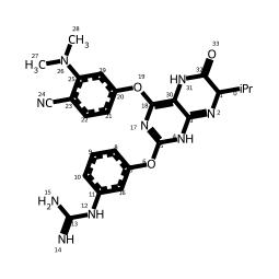 CC(C)C1N=C2NC(Oc3cccc(NC(=N)N)c3)=NC(Oc3ccc(C#N)c(N(C)C)c3)=C2NC1=O